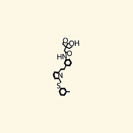 CCC(CC)(CC(=O)Nc1cccc(C=Cc2cccc(CSc3cccc(C)c3)n2)c1)C(=O)O